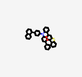 c1ccc(-c2ccc(N(c3ccc(-c4cccc5ccccc45)cc3)c3ccccc3-c3ccc4c(c3)sc3ccccc34)cc2)cc1